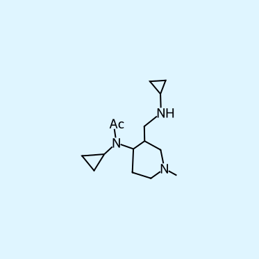 CC(=O)N(C1CC1)C1CCN(C)CC1CNC1CC1